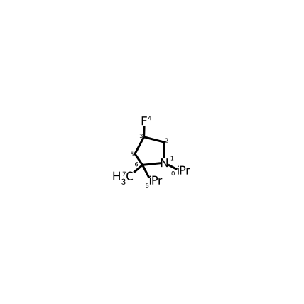 CC(C)N1CC(F)CC1(C)C(C)C